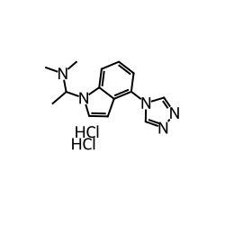 CC(N(C)C)n1ccc2c(-n3cnnc3)cccc21.Cl.Cl